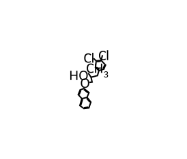 CC(O)C(COc1ccc2ccccc2c1)Cc1ccc(Cl)c(Cl)c1